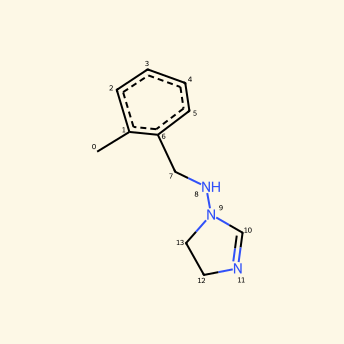 Cc1ccccc1CNN1C=NCC1